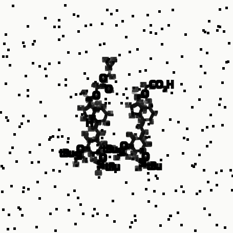 C=C1C(=CC=C2CCC[C@]3(C)C([C@H](C)OCC(=O)O)=CCC23)C[C@@H](O[Si](C)(C)C(C)(C)C)C[C@@H]1O[Si](C)(C)C(C)(C)C.C=C1C(=CC=C2CCC[C@]3(C)C([C@H](C)OCC(=O)OCC4CC4)=CC[C@@H]23)C[C@@H](O[Si](C)(C)C(C)(C)C)C[C@@H]1O[Si](C)(C)C(C)(C)C